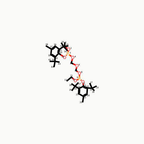 CCOP(OCOCOP(OCC)Oc1c(C(C)(C)C)cc(C)cc1C(C)(C)C)Oc1c(C(C)(C)C)cc(C)cc1C(C)(C)C